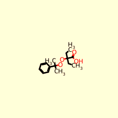 CCC(CC)(OOC(C)(C)c1ccccc1)C(=O)O